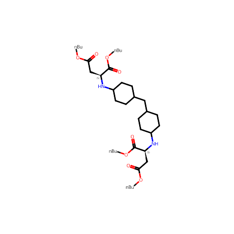 CCCCOC(=O)C[C@H](NC1CCC(CC2CCC(N[C@@H](CC(=O)OCCCC)C(=O)OCCCC)CC2)CC1)C(=O)OCCCC